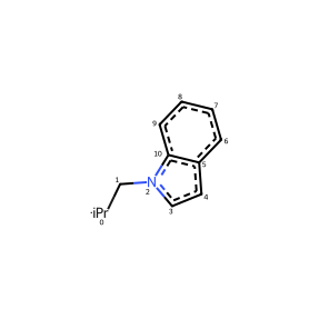 C[C](C)Cn1ccc2ccccc21